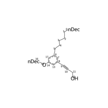 CCCCCCCCCCCCCCCc1cc(C#CCO)cc(OCCCCCCCCCC)c1